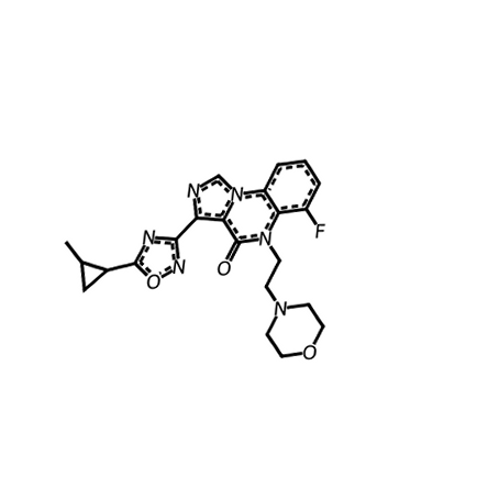 CC1CC1c1nc(-c2ncn3c2c(=O)n(CCN2CCOCC2)c2c(F)cccc23)no1